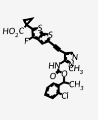 CC(OC(=O)Nc1c(C#Cc2cc3c(F)c(C4(C(=O)O)CC4)sc3s2)cnn1C)c1ccccc1Cl